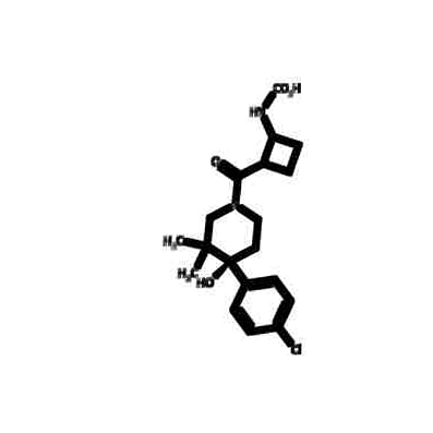 CC1(C)CN(C(=O)C2CCC2NC(=O)O)CC[C@]1(O)c1ccc(Cl)cc1